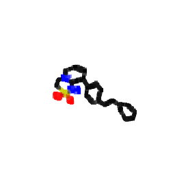 O=S1(=O)CC[n+]2cccc(-c3ccc(/C=C/c4ccccc4)cc3)c2N1